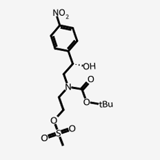 CC(C)(C)OC(=O)N(CCOS(C)(=O)=O)C[C@@H](O)c1ccc([N+](=O)[O-])cc1